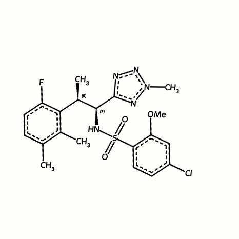 COc1cc(Cl)ccc1S(=O)(=O)N[C@H](c1nnn(C)n1)[C@H](C)c1c(F)ccc(C)c1C